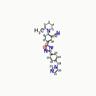 CC1CCCCN1c1ccc(-c2nc(-c3ccc(Cn4ccnc4)cc3)no2)cc1C#N